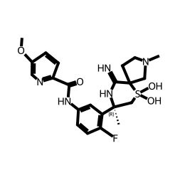 COc1ccc(C(=O)Nc2ccc(F)c([C@]3(C)CS(O)(O)C4(CCN(C)C4)C(=N)N3)c2)nc1